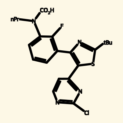 CCCN(C(=O)O)c1cccc(-c2nc(C(C)(C)C)sc2-c2ccnc(Cl)n2)c1F